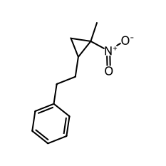 CC1([N+](=O)[O-])CC1CCc1ccccc1